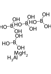 OB(O)O.OB(O)O.OB(O)O.OB(O)O.[AlH3].[MgH2]